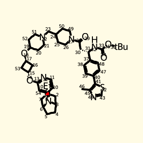 CCN1CC2CCC(C1)N2c1ccnc(O[C@H]2C[C@H](OC3CCN(CC4CCN(C(=O)C[C@H](NC(=O)OC(C)(C)C)c5ccc(-c6scnc6C)cc5)CC4)CC3)C2)c1